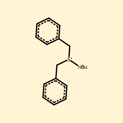 CCCC[S+](Cc1ccccc1)Cc1ccccc1